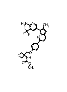 COC(=O)NC1(COc2ccc(-c3ccc4nc(C)c(-c5cnc(N)c(C(F)(F)F)c5)n4n3)cc2)COC1